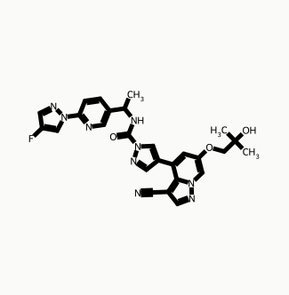 CC(NC(=O)n1cc(-c2cc(OCC(C)(C)O)cn3ncc(C#N)c23)cn1)c1ccc(-n2cc(F)cn2)nc1